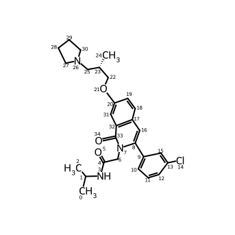 CC(C)NC(=O)Cn1c(-c2cccc(Cl)c2)cc2ccc(OC[C@@H](C)CN3CCCC3)cc2c1=O